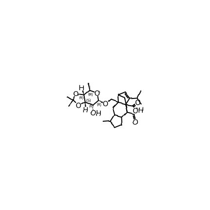 CC(C)C1=CC2CC3(C=O)C4CCC(C)C4CC2(CO[C@@H]2O[C@H](C)[C@H]4OC(C)(C)O[C@H]4[C@H]2O)C13C(=O)O